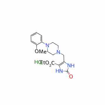 CCOC(=O)c1[nH]c(=O)[nH]c1CN1CCN(c2ccccc2OC)CC1.Cl